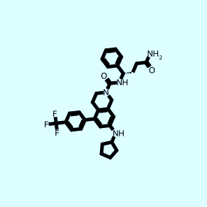 NC(=O)CC[C@H](NC(=O)N1CCc2c(cc(NC3CCCC3)cc2-c2ccc(C(F)(F)F)cc2)C1)c1ccccc1